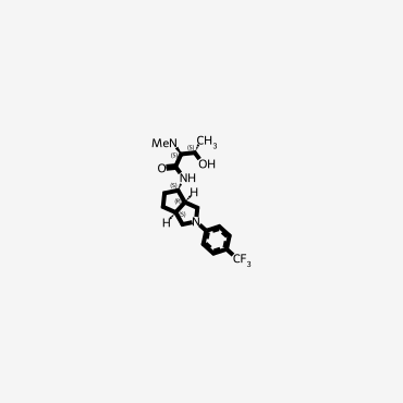 CN[C@H](C(=O)N[C@H]1CC[C@@H]2CN(c3ccc(C(F)(F)F)cc3)C[C@@H]21)[C@H](C)O